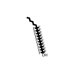 CCCCCCC(F)(F)C(F)(F)C(F)(F)C(F)(F)C(F)(F)C(F)(F)C(F)(F)C(F)(F)C(F)(F)C(O)(F)F